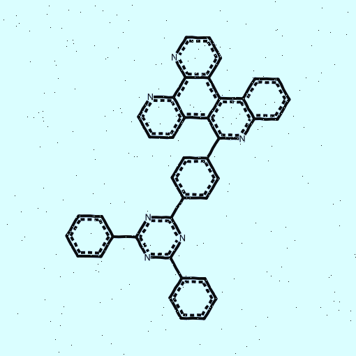 c1ccc(-c2nc(-c3ccccc3)nc(-c3ccc(-c4nc5ccccc5c5c6cccnc6c6ncccc6c45)cc3)n2)cc1